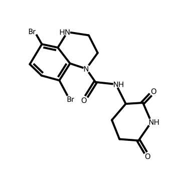 O=C1CCC(NC(=O)N2CCNc3c(Br)ccc(Br)c32)C(=O)N1